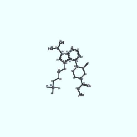 C[C@H]1CN(C(=O)OC(C)(C)C)CCN1c1ncnc2c(B(O)O)cn(COCC[Si](C)(C)C)c12